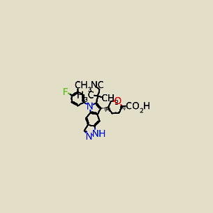 Cc1cc(-n2c(C(C)(C)CC#N)c([C@H]3CC[C@H](C(=O)O)OC3)c3cc4[nH]ncc4cc32)ccc1F